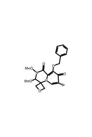 COC1N(OC)C(=O)c2c(OCc3ccccc3)c(=O)c(Br)cn2C12COC2